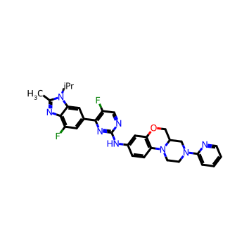 Cc1nc2c(F)cc(-c3nc(Nc4ccc5c(c4)OCC4CN(c6ccccn6)CCN54)ncc3F)cc2n1C(C)C